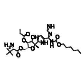 CCCCCCOC(=O)N/C(=N/C=N)c1ccc([C@]2(C)O[C@H](COC(=O)[C@@H](N)C(C)(C)C)[C@@H](OC(=O)CC)[C@H]2O)[nH]1